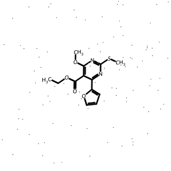 CCOC(=O)c1c(OC)nc(SC)nc1-c1ccco1